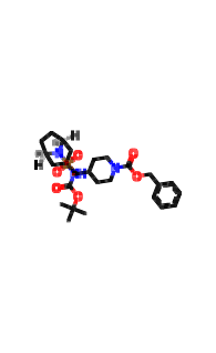 CC(C)(C)OC(=O)NC1C[C@H]2CC[C@@H](C1)N2S(=O)(=O)CC1CCN(C(=O)OCc2ccccc2)CC1